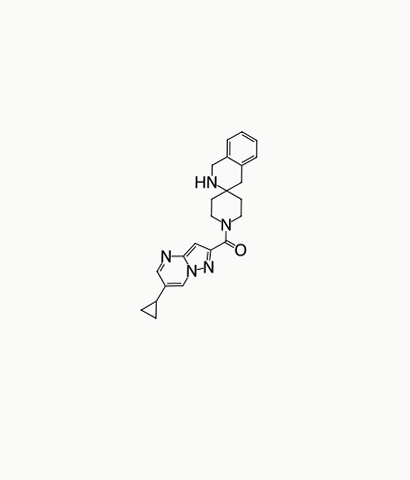 O=C(c1cc2ncc(C3CC3)cn2n1)N1CCC2(CC1)Cc1ccccc1CN2